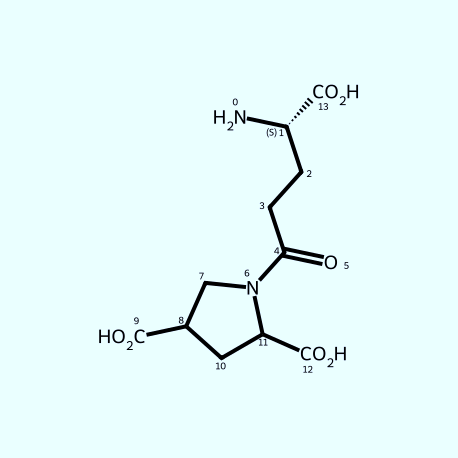 N[C@@H](CCC(=O)N1CC(C(=O)O)CC1C(=O)O)C(=O)O